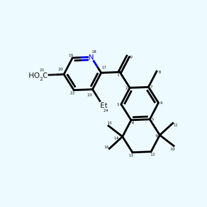 C=C(c1cc2c(cc1C)C(C)(C)CCC2(C)C)c1ncc(C(=O)O)cc1CC